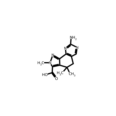 Cn1nc2c(c1C(=O)O)C(C)(C)Cc1cnc(N)nc1-2